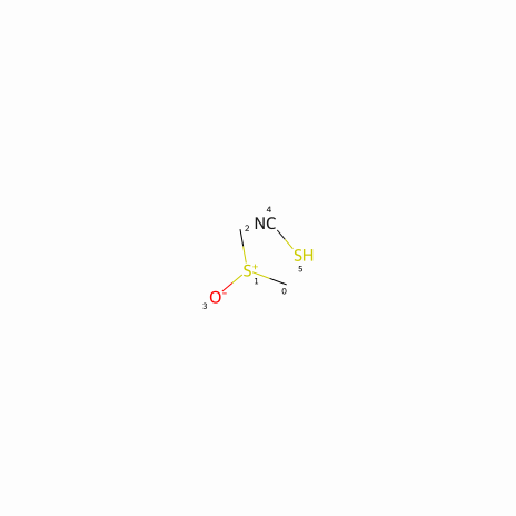 C[S+](C)[O-].N#CS